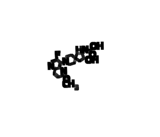 COc1ccc2ncc(F)c(N3CCC4(CC3)C[C@H](NC(=O)O)[C@@H](O)C4)c2n1